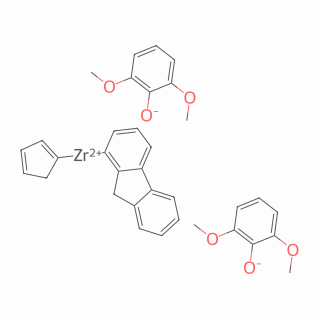 C1=CC[C]([Zr+2][c]2cccc3c2Cc2ccccc2-3)=C1.COc1cccc(OC)c1[O-].COc1cccc(OC)c1[O-]